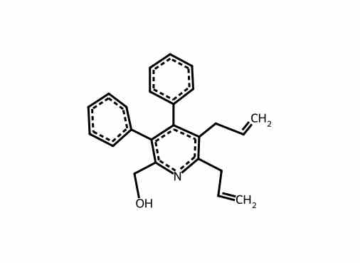 C=CCc1nc(CO)c(-c2ccccc2)c(-c2ccccc2)c1CC=C